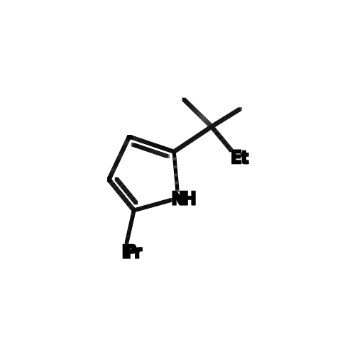 CCC(C)(C)c1ccc(C(C)C)[nH]1